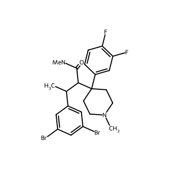 CNC(=O)C(C(C)c1cc(Br)cc(Br)c1)C1(c2ccc(F)c(F)c2)CCN(C)CC1